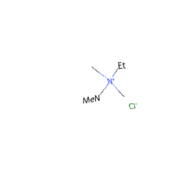 CC[N+](C)(C)NC.[Cl-]